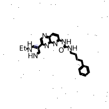 CCN/C=C(\C=N)c1cnc2ccc(NC(=O)NCCCCc3ccccc3)nc2n1